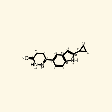 O=C1CCC(c2ccc3[nH]c(C4CC4)cc3c2)=NN1